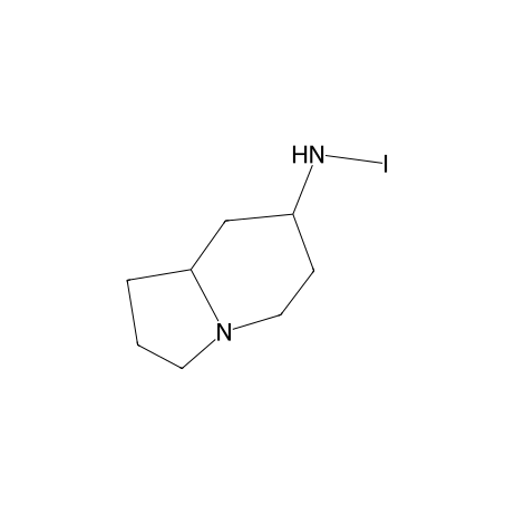 INC1CCN2CCCC2C1